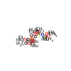 CCCCC(CC)COc1ccc(C)cc1-c1cc(-c2sc(-c3ccc(-c4sc(-c5ccc(-c6sc(C)c7c6OCC(C)(C)CO7)n5CC(CC)CCCC)c5c4OCC(C)(C)CO5)c(OCC(CC)CCCC)c3-c3ccccc3OCC(CC)CCCC)c3c2OCCO3)ccc1OCC(CC)CCCC